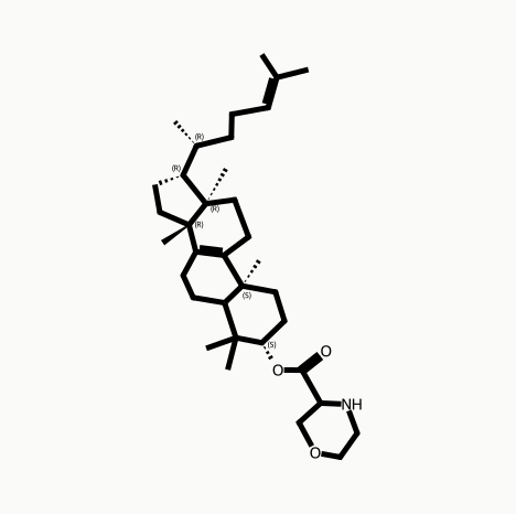 CC(C)=CCC[C@@H](C)[C@H]1CC[C@@]2(C)C3=C(CC[C@]12C)[C@@]1(C)CC[C@H](OC(=O)C2COCCN2)C(C)(C)C1CC3